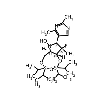 Cc1ncc([C@@H]2N(O)[C@@H]3CO[Si](C(C)C)(C(C)C)O[Si](C(C)C)(C(C)C)O[C@H]3[C@@]2(C)F)c(C)n1